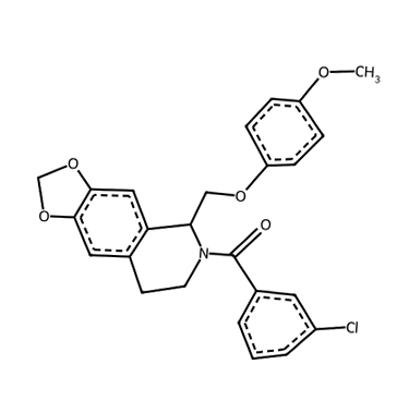 COc1ccc(OCC2c3cc4c(cc3CCN2C(=O)c2cccc(Cl)c2)OCO4)cc1